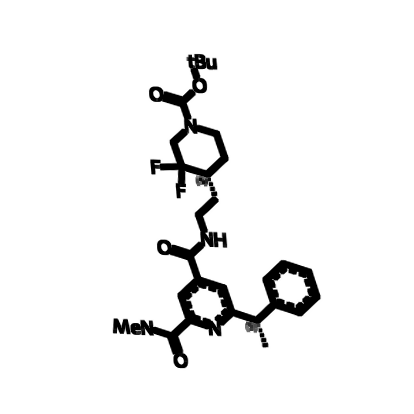 CNC(=O)c1cc(C(=O)NCC[C@H]2CCN(C(=O)OC(C)(C)C)CC2(F)F)cc([C@@H](C)c2ccccc2)n1